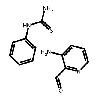 NC(=S)Nc1ccccc1.Nc1cccnc1C=O